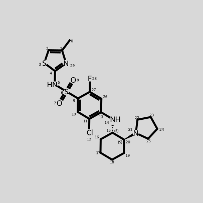 Cc1csc(NS(=O)(=O)c2cc(Cl)c(N[C@H]3CCCC[C@@H]3N3CCCC3)cc2F)n1